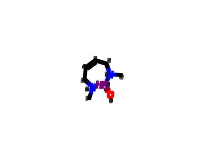 CN1CC=CCN(C)[PH]1=O